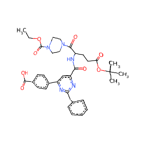 CCOC(=O)N1CCN(C(=O)C(CCC(=O)OC(C)(C)C)NC(=O)c2cc(-c3ccc(C(=O)O)cc3)nc(-c3ccccc3)n2)CC1